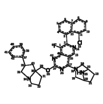 Fc1c(-c2cccc3cccc(Cl)c23)ncc2c(N3CC4CCC(C3)N4)nc(OCC34CCCN3CC(c3ccccc3)C4)nc12